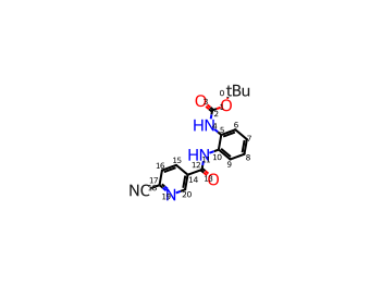 CC(C)(C)OC(=O)Nc1ccccc1NC(=O)c1ccc(C#N)nc1